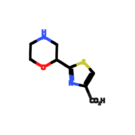 O=C(O)c1csc(C2CNCCO2)n1